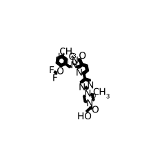 Cc1ccc(OC(F)F)c(Cn2c3nc(-c4cnc(N5CCN(C(=O)CO)C[C@H]5C)nc4)ccc3c(=O)n2C)c1